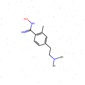 Cc1cc(CCN(C(C)C)C(C)C)ccc1C(=N)NO